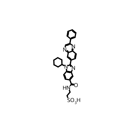 O=C(NCCS(=O)(=O)O)c1ccc2c(c1)nc(-c1ccc3nc(-c4ccccc4)cnc3c1)n2C1CCCCC1